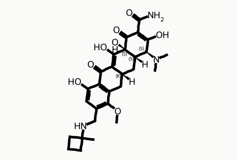 COc1c(CNC2(C)CCC2)cc(O)c2c1C[C@H]1C[C@H]3[C@H](N(C)C)C(O)=C(C(N)=O)C(=O)[C@@]3(O)C(O)=C1C2=O